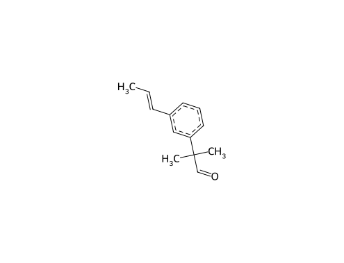 CC=Cc1cccc(C(C)(C)C=O)c1